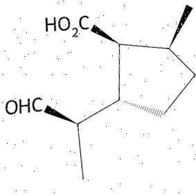 C[C@@H](C=O)[C@H]1CC[C@H](C)[C@@H]1C(=O)O